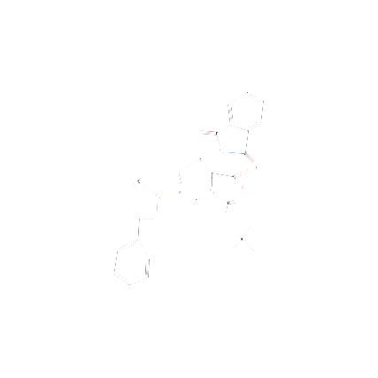 CC(C)(C)OC(=O)N1C[C@H](N(OCc2ccccc2)C(=O)Cl)CC[C@]1(C(=O)O)N1C(=O)c2ccccc2C1=O